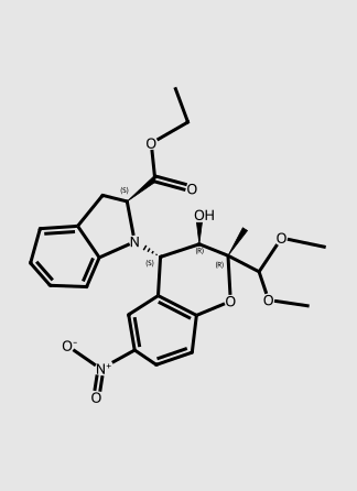 CCOC(=O)[C@@H]1Cc2ccccc2N1[C@H]1c2cc([N+](=O)[O-])ccc2O[C@@](C)(C(OC)OC)[C@@H]1O